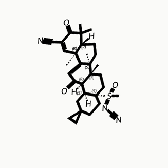 CC1(C)C(=O)C(C#N)=C[C@]2(C)C3=CC(=O)[C@@H]4[C@@H]5CC6(CC6)CC[C@]5(S(C)(=O)=NC#N)CC[C@@]4(C)[C@]3(C)CC[C@@H]12